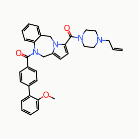 C=CCN1CCN(C(=O)c2ccc3n2Cc2ccccc2N(C(=O)c2ccc(-c4ccccc4OC)cc2)C3)CC1